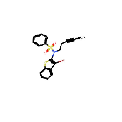 CC#CCCN(c1sc2ccccc2c1Br)S(=O)(=O)c1ccccc1